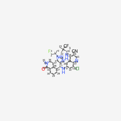 CC(CF)n1cc([C@@H](Nc2cc(Cl)c3ncc(C#N)c(NCC(C)(C)C(F)(F)F)c3c2)c2cccc3c(=O)n(C)ccc23)nn1